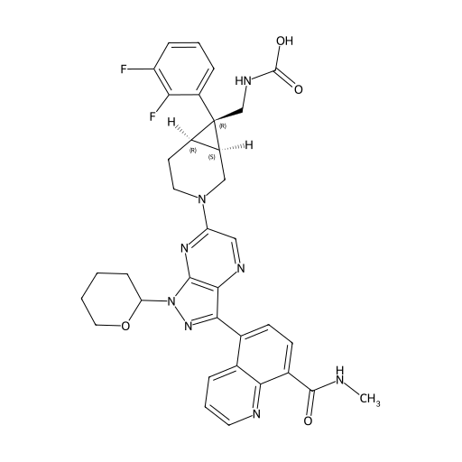 CNC(=O)c1ccc(-c2nn(C3CCCCO3)c3nc(N4CC[C@@H]5[C@H](C4)[C@@]5(CNC(=O)O)c4cccc(F)c4F)cnc23)c2cccnc12